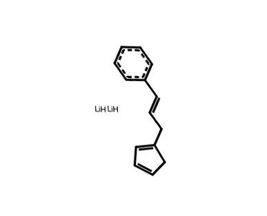 C1=CCC(CC=Cc2ccccc2)=C1.[LiH].[LiH]